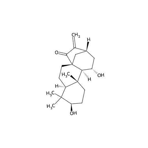 C=C1C(=O)[C@@]23CC[C@@H]4C(C)(C)[C@H](O)CC[C@@]4(C)[C@@H]2[C@@H](O)C[C@@H]1C3